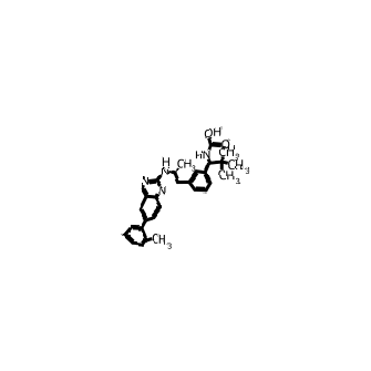 Cc1ccccc1-c1ccc2nc(N[C@@H](C)Cc3cccc(C(NC(=O)O)C(C)(C)C)c3)ncc2c1